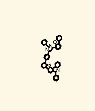 c1ccc(-c2nc(-c3ccc(-c4cccc5c4sc4c5ccc5c(-c6ccccc6)nc6ccccc6c54)cc3)cc(-c3cccc4c3oc3ccccc34)n2)cc1